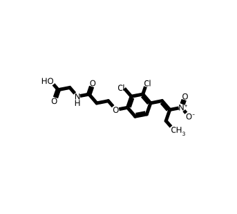 CC/C(=C\c1ccc(OCCC(=O)NCC(=O)O)c(Cl)c1Cl)[N+](=O)[O-]